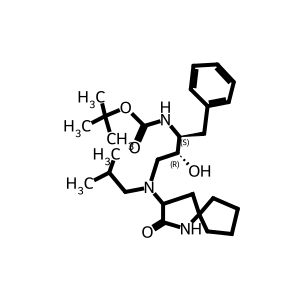 CC(C)CN(C[C@@H](O)[C@H](Cc1ccccc1)NC(=O)OC(C)(C)C)C1CC2(CCCC2)NC1=O